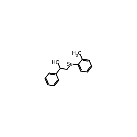 Cc1ccccc1[Se]CC(O)c1ccccc1